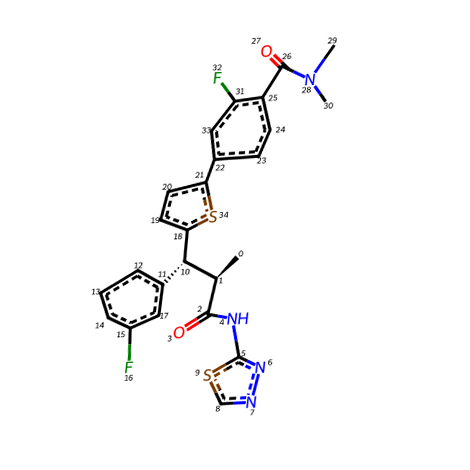 C[C@@H](C(=O)Nc1nncs1)[C@H](c1cccc(F)c1)c1ccc(-c2ccc(C(=O)N(C)C)c(F)c2)s1